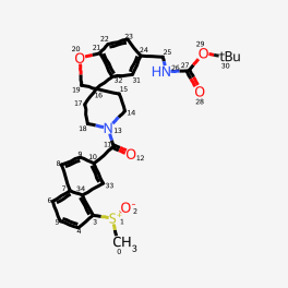 C[S+]([O-])c1cccc2ccc(C(=O)N3CCC4(CC3)COc3ccc(CNC(=O)OC(C)(C)C)cc34)cc12